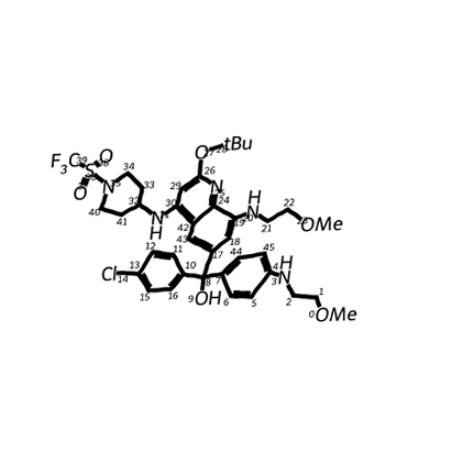 COCCNc1ccc(C(O)(c2ccc(Cl)cc2)c2cc(NCCOC)c3nc(OC(C)(C)C)cc(NC4CCN(S(=O)(=O)C(F)(F)F)CC4)c3c2)cc1